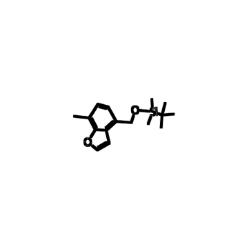 Cc1ccc(CO[Si](C)(C)C(C)(C)C)c2ccoc12